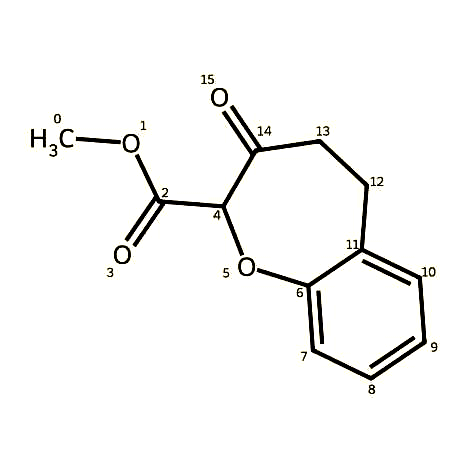 COC(=O)C1Oc2ccccc2CCC1=O